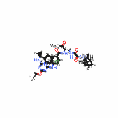 COC(=O)[C@H](CNC(=O)C(=O)N[C@@H]1C[C@H]2C[C@@H]([C@H]1C)C2(C)C)NC(=O)c1ccc(Nc2nc(NC3(c4ccc(Cl)cc4)CC3)nc(OCC(F)(F)F)n2)cc1